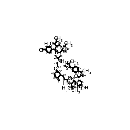 Cc1ncsc1-c1ccc([C@H](C)NC(=O)[C@@H]2C[C@@H](O)CN2C(=O)[C@@H](NC(=O)CCc2cc(OCCNC(=O)C[C@@H]3N=C(c4ccc(Cl)cc4)c4c(sc(C)c4C)-n4c(C)nnc43)ccc2F)C(C)(C)C)cc1